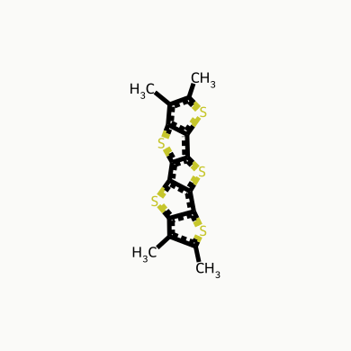 Cc1sc2c(sc3c2sc2c4sc(C)c(C)c4sc23)c1C